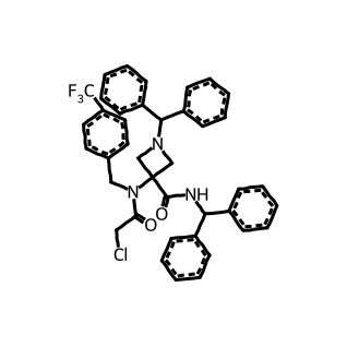 O=C(CCl)N(Cc1ccc(C(F)(F)F)cc1)C1(C(=O)NC(c2ccccc2)c2ccccc2)CN(C(c2ccccc2)c2ccccc2)C1